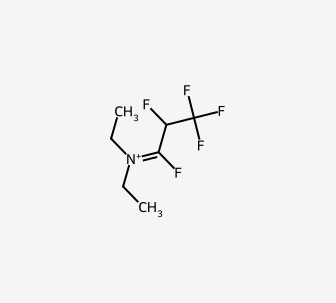 CC[N+](CC)=C(F)C(F)C(F)(F)F